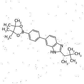 C[C@H](c1nc2ccc(-c3ccc(B4OC(C)(C)C(C)(C)O4)cc3)cc2[nH]1)C(C)(C)C